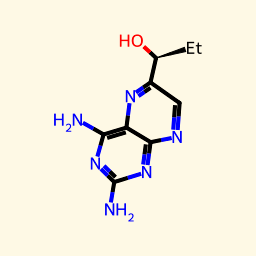 CC[C@H](O)c1cnc2nc(N)nc(N)c2n1